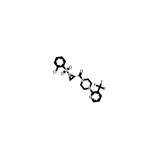 O=C([C@@H]1CN1S(=O)(=O)c1ccccc1Cl)N1CCN(c2ncccc2C(F)(F)F)CC1